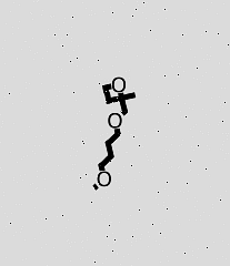 COCCCCOCC1(C)CCO1